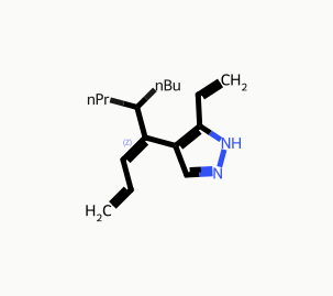 C=C/C=C(\c1cn[nH]c1C=C)C(CCC)CCCC